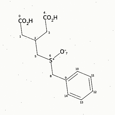 O=C(O)CC(CC(=O)O)C[S+]([O-])Cc1ccccc1